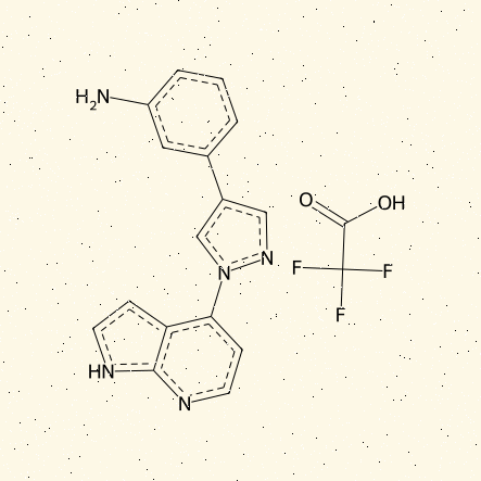 Nc1cccc(-c2cnn(-c3ccnc4[nH]ccc34)c2)c1.O=C(O)C(F)(F)F